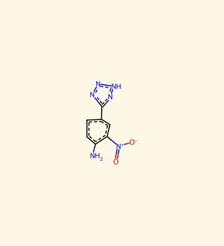 Nc1ccc(-c2nn[nH]n2)cc1[N+](=O)[O-]